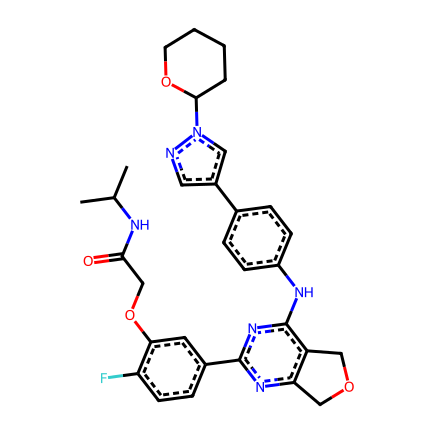 CC(C)NC(=O)COc1cc(-c2nc3c(c(Nc4ccc(-c5cnn(C6CCCCO6)c5)cc4)n2)COC3)ccc1F